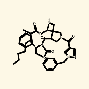 CCCCCCC(C)C(=O)OC1NCC12CN(C(=O)c1cnn(Cc3ccccc3)c1)CC2C(=O)N1C(=O)OC[C@H]1c1ccccc1